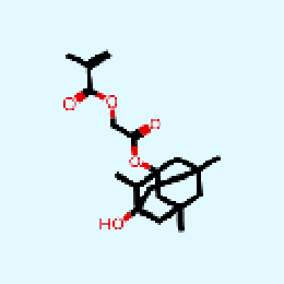 C=C(C)C(=O)OCC(=O)OC12CC3(C)CC(C)(CC(O)(C3)C1C)C2